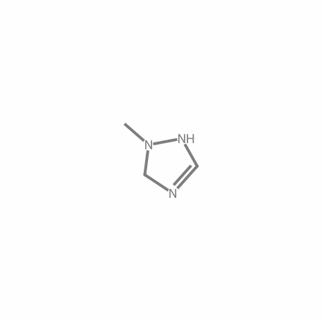 CN1CN=CN1